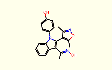 C/C(=N\O)c1c(-c2c(C)noc2C)n(-c2ccc(O)cc2)c2ccccc12